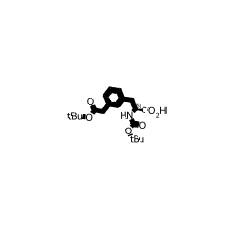 CC(C)(C)OC(=O)Cc1cccc(C[C@H](NC(=O)OC(C)(C)C)C(=O)O)c1